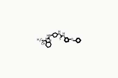 CN(C)c1nc(NC2CCC(NC(=S)Nc3cccc(OCc4ccccc4)c3)CC2)nc2c1CCCC2